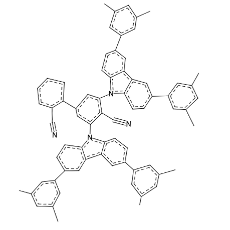 Cc1cc(C)cc(-c2ccc3c(c2)c2cc(-c4cc(C)cc(C)c4)ccc2n3-c2cc(-c3ccccc3C#N)cc(-n3c4ccc(-c5cc(C)cc(C)c5)cc4c4cc(-c5cc(C)cc(C)c5)ccc43)c2C#N)c1